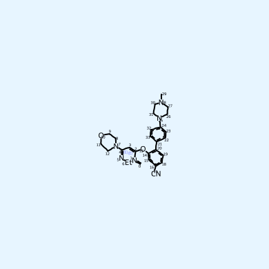 C=N/C(=C\C(=N/CC)N1CCOCC1)Oc1cc(C#N)ccc1-c1ccc(N2CCN(C)CC2)cc1